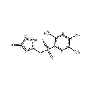 Cc1cc(S(=O)(=O)Cc2cc(=O)[nH][nH]2)c(C)cc1Cl